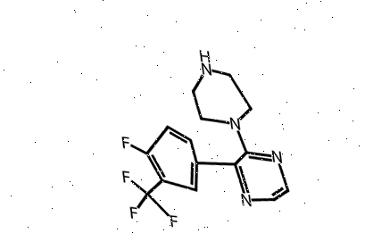 Fc1ccc(-c2nccnc2N2CCNCC2)cc1C(F)(F)F